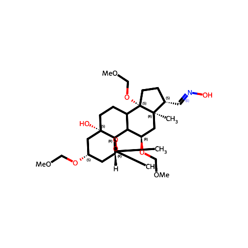 COCO[C@H]1C[C@H]2OC(C)(C)OC[C@]23C2C(CC[C@]3(O)C1)[C@@]1(OCOC)CC[C@H](/C=N/O)[C@@]1(C)C[C@H]2OCOC